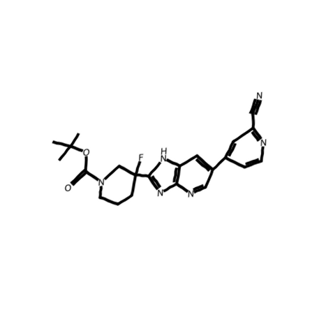 CC(C)(C)OC(=O)N1CCCC(F)(c2nc3ncc(-c4ccnc(C#N)c4)cc3[nH]2)C1